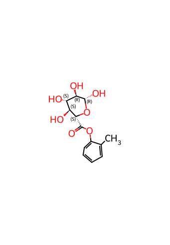 Cc1ccccc1OC(=O)[C@H]1O[C@@H](O)[C@H](O)[C@@H](O)[C@@H]1O